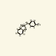 Fc1ccc(Sc2nc3ccccc3s2)cc1